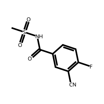 CS(=O)(=O)NC(=O)c1ccc(F)c(C#N)c1